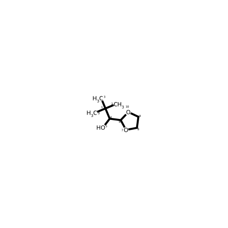 CC(C)(C)C(O)C1OCCO1